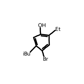 CCc1cc(Br)c(C(C)CC)cc1O